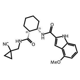 COc1cccc2[nH]c(C(=O)N[C@H]3CCCC[C@H]3C(=O)NCC3(C#N)CC3)cc12